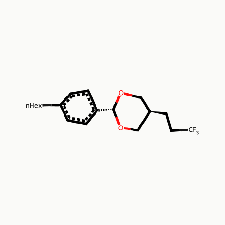 CCCCCCc1ccc([C@H]2OC[C@H](CCC(F)(F)F)CO2)cc1